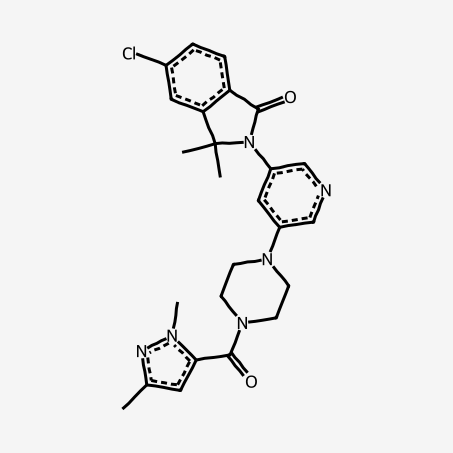 Cc1cc(C(=O)N2CCN(c3cncc(N4C(=O)c5ccc(Cl)cc5C4(C)C)c3)CC2)n(C)n1